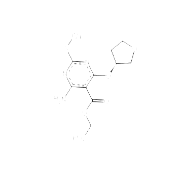 CCOC(=O)c1c(N)nc(SC)nc1O[C@H]1CCOC1